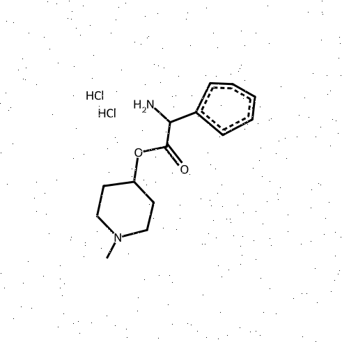 CN1CCC(OC(=O)C(N)c2ccccc2)CC1.Cl.Cl